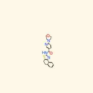 O=C(Nc1nc2c(s1)CCc1ccccc1-2)c1ccc(N2CCOCC2)nc1